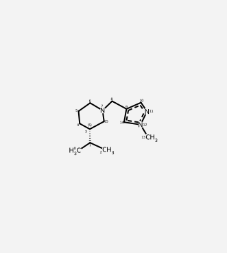 CC(C)[C@@H]1CCCN(Cc2cnn(C)c2)C1